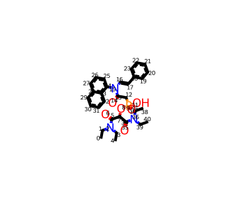 CCN(CC)C(=O)C(OP(=O)(O)CC(=O)N(C=Cc1ccccc1)c1cccc2ccccc12)C(=O)N(CC)CC